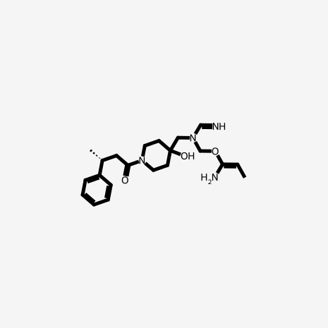 C/C=C(\N)OCN(C=N)CC1(O)CCN(C(=O)C[C@@H](C)c2ccccc2)CC1